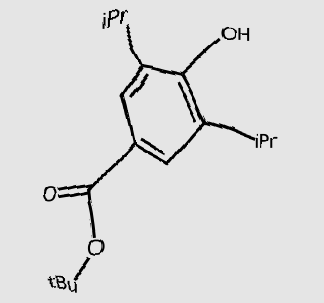 CC(C)c1cc(C(=O)OC(C)(C)C)cc(C(C)C)c1O